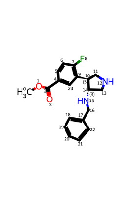 COC(=O)c1ccc(F)c([C@H]2CNC[C@@H]2NCc2ccccc2)c1